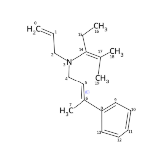 C=CCN(C/C=C(\C)c1ccccc1)C(CC)=C(C)C